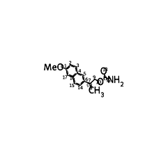 COc1ccc2cc([C@H](C)COC(N)=O)ccc2c1